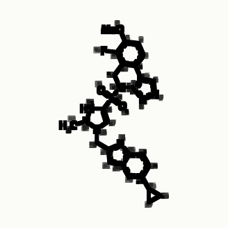 COc1ccc(-n2cnnn2)c(CNS(=O)(=O)C2=CN(Cc3cn4cc(C5CC5)ccc4n3)N(C)N2)c1F